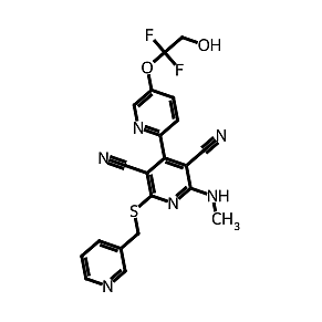 CNc1nc(SCc2cccnc2)c(C#N)c(-c2ccc(OC(F)(F)CO)cn2)c1C#N